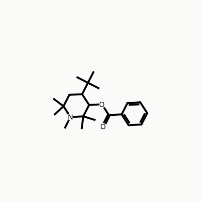 CN1C(C)(C)CC(C(C)(C)C)C(OC(=O)c2ccccc2)C1(C)C